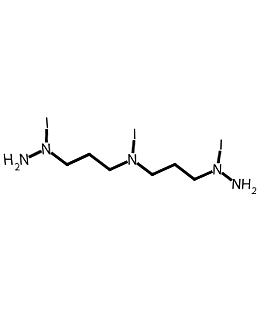 NN(I)CCCN(I)CCCN(N)I